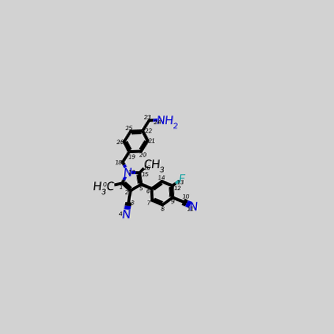 Cc1c(C#N)c(-c2ccc(C#N)c(F)c2)c(C)n1Cc1ccc(CN)cc1